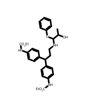 CCOC(=O)Nc1ccc(C(CCNC(Oc2ccccc2)C(C)O)c2ccc(NC(=O)OCC)cc2)cc1